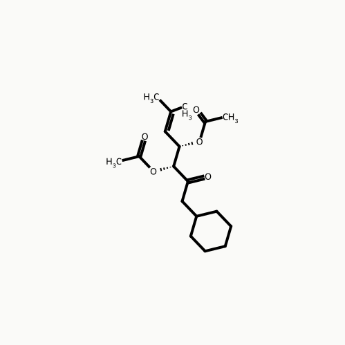 CC(=O)O[C@@H](C=C(C)C)[C@@H](OC(C)=O)C(=O)CC1CCCCC1